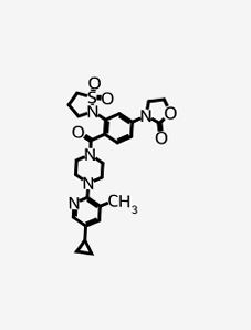 Cc1cc(C2CC2)cnc1N1CCN(C(=O)c2ccc(N3CCOC3=O)cc2N2CCCS2(=O)=O)CC1